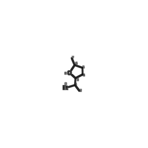 CCC(C)C1CCC(C)O1